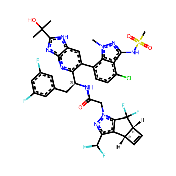 Cn1nc(NS(C)(=O)=O)c2c(Cl)ccc(-c3cc4[nH]c(C(C)(C)O)nc4nc3[C@H](Cc3cc(F)cc(F)c3)NC(=O)Cn3nc(C(F)F)c4c3C(F)(F)[C@@H]3C=C[C@H]43)c21